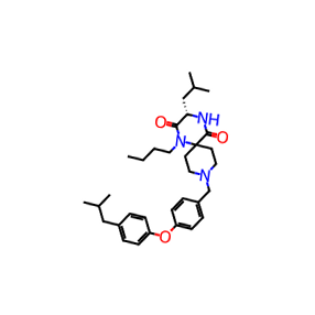 CCCCN1C(=O)[C@H](CC(C)C)NC(=O)C12CCN(Cc1ccc(Oc3ccc(CC(C)C)cc3)cc1)CC2